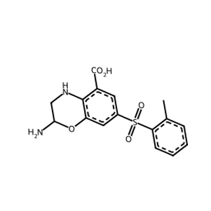 Cc1ccccc1S(=O)(=O)c1cc2c(c(C(=O)O)c1)NCC(N)O2